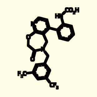 O=C(O)Nc1ccccc1-c1ccnc2c1CN(Cc1cc(C(F)(F)F)cc(C(F)(F)F)c1)C(=O)CO2